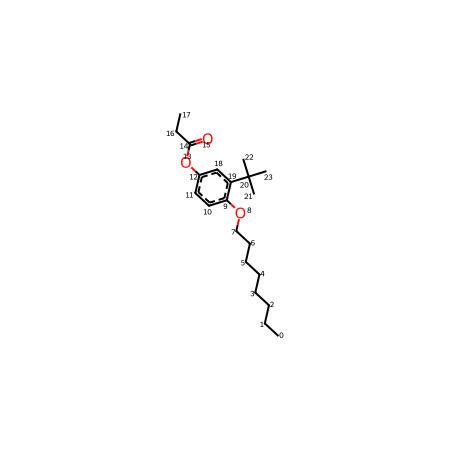 CCCCCCCCOc1ccc(OC(=O)CC)cc1C(C)(C)C